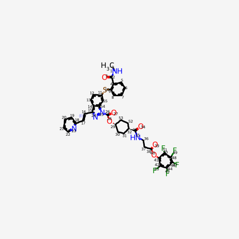 CNC(=O)c1ccccc1Sc1ccc2c(/C=C/c3ccccn3)nn(C(=O)O[C@H]3CC[C@H](C(=O)NCCC(=O)Oc4c(F)c(F)c(F)c(F)c4F)CC3)c2c1